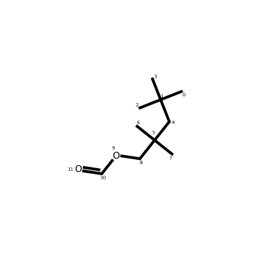 CC(C)(C)CC(C)(C)COC=O